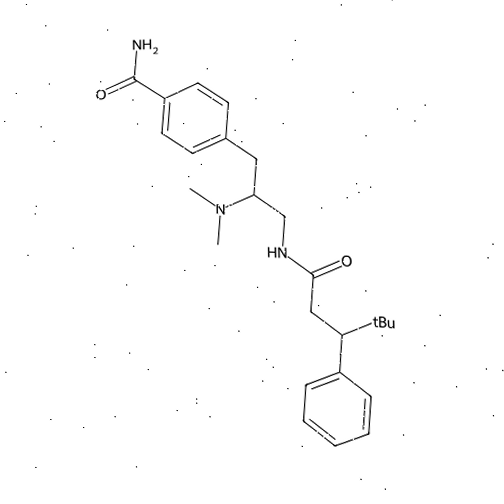 CN(C)C(CNC(=O)CC(c1ccccc1)C(C)(C)C)Cc1ccc(C(N)=O)cc1